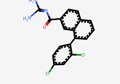 NC(N)=NC(=O)c1ccc2cccc(-c3ccc(Cl)cc3Cl)c2c1